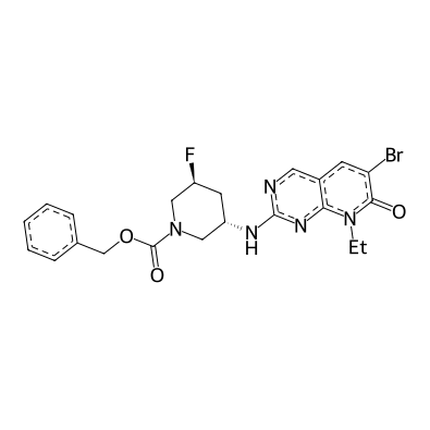 CCn1c(=O)c(Br)cc2cnc(N[C@H]3C[C@H](F)CN(C(=O)OCc4ccccc4)C3)nc21